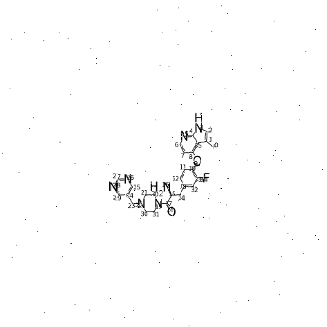 Cc1c[nH]c2nccc(Oc3ccc(C[C@H](N)C(=O)N4CCN(Cc5cncnc5)CC4)cc3F)c12